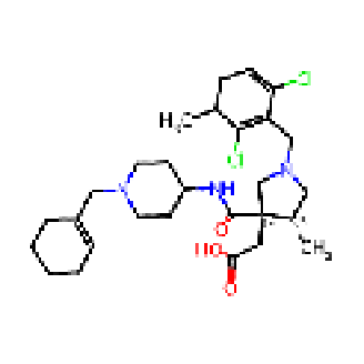 CC1CC=C(Cl)C(CN2C[C@H](C)[C@](CC(=O)O)(C(=O)NC3CCN(CC4=CCCCC4)CC3)C2)=C1Cl